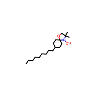 CCCCCCCCCC1CCC2(CC1)OCC(C)(C)N2O